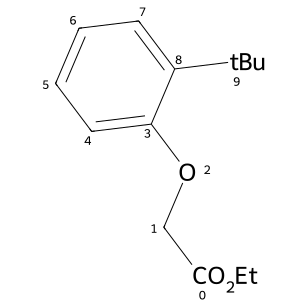 CCOC(=O)COc1ccccc1C(C)(C)C